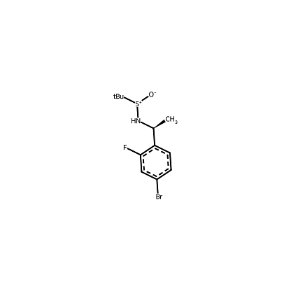 C[C@H](N[S+]([O-])C(C)(C)C)c1ccc(Br)cc1F